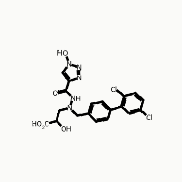 O=C(NN(Cc1ccc(-c2cc(Cl)ccc2Cl)cc1)CC(O)C(=O)O)c1cn(O)nn1